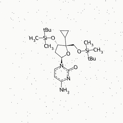 CC(C)(C)[Si](C)(C)OC[C@@]1(C2CC2)O[C@@H](n2ccc(N)nc2=O)C[C@@H]1O[Si](C)(C)C(C)(C)C